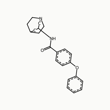 O=C(NC1CC2CCN(CC2)C1)c1ccc(Oc2ccccc2)cc1